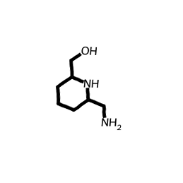 NCC1CCCC(CO)N1